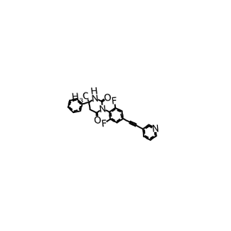 C[C@]1(c2ccccc2)CC(=O)N(c2c(F)cc(C#Cc3cccnc3)cc2F)C(=O)N1